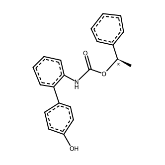 C[C@@H](OC(=O)Nc1ccccc1-c1ccc(O)cc1)c1ccccc1